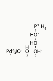 [OH-].[OH-].[OH-].[OH-].[OH-].[PH6+3].[Pd+2]